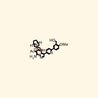 COc1ccc(-c2ccc(-c3cnn4c(N)c(C(C)=O)c([C@H]5C[C@H]6CC[C@@H](C5)N6C(=O)CO)nc34)cn2)cc1CO